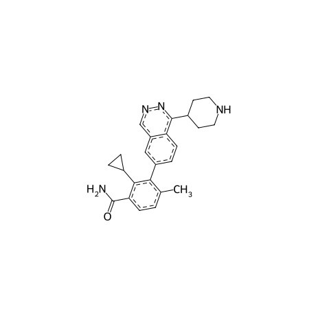 Cc1ccc(C(N)=O)c(C2CC2)c1-c1ccc2c(C3CCNCC3)nncc2c1